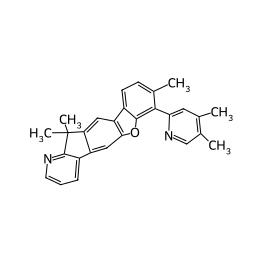 Cc1cnc(-c2c(C)ccc3c2oc2cc4c(cc23)C(C)(C)c2ncccc2-4)cc1C